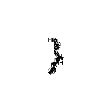 CC(C)n1nc(N2CCN(Cc3cc(F)c4c(c3)CN(C3CCCNC3)C4=O)CC2)c2cnc(Nc3ccnc(-c4cnn(S(=O)(=O)C5CC5)c4)n3)cc21